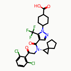 O=C(CN(C(=O)c1cnn(C2CCC(C(=O)O)CC2)c1C(F)(F)F)[C@H]1CC12CCCC2)c1c(Cl)cccc1Cl